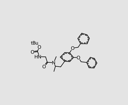 CC(Cc1ccc(OCc2ccccc2)c(OCc2ccccc2)c1)N(C)C(=O)CNC(=O)OC(C)(C)C